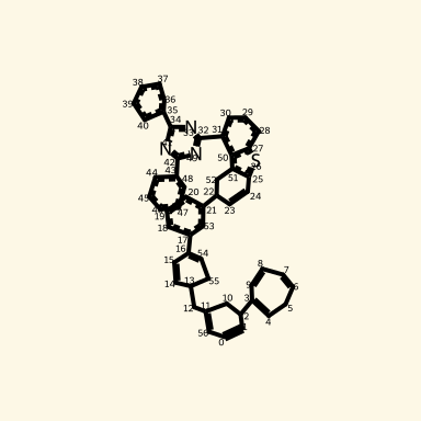 C1#CC(C2=CCC=CC=C2)CC(CC2C=CC(c3cccc(C4C=Cc5sc6cccc(-c7nc(-c8ccccc8)nc(-c8ccccc8)n7)c6c5C4)c3)=CC2)=C1